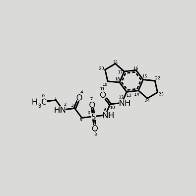 CCNC(=O)CS(=O)(=O)NC(=O)Nc1c2c(cc3c1CCC3)CCC2